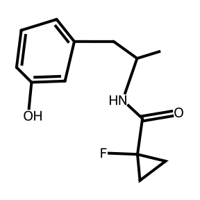 CC(Cc1cccc(O)c1)NC(=O)C1(F)CC1